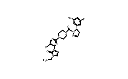 N#Cc1cc(F)cc([C@@H]2CC=NN2C(=O)N2CCN(c3ncc(F)c(-n4ncn(CC(F)(F)F)c4=O)n3)CC2)c1